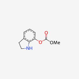 COC(=O)Oc1cccc2c1NCC2